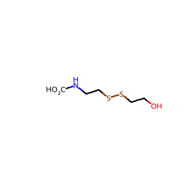 O=C(O)NCCSSCCO